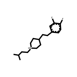 CC(C)CC[SiH]1CCC(CCc2ccc(F)c(F)c2)CC1